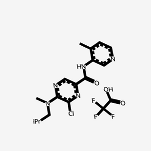 Cc1ccncc1NC(=O)c1cnc(N(C)CC(C)C)c(Cl)n1.O=C(O)C(F)(F)F